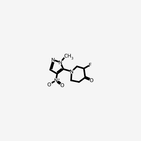 Cn1ncc([N+](=O)[O-])c1N1CCC(=O)C(F)C1